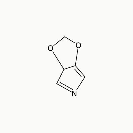 C1=NC=C2OCOC12